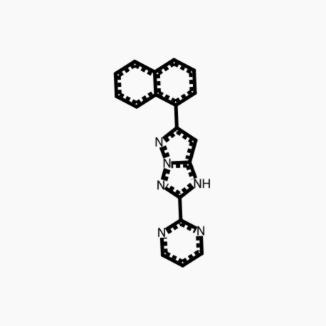 c1cnc(-c2nn3nc(-c4cccc5ccccc45)cc3[nH]2)nc1